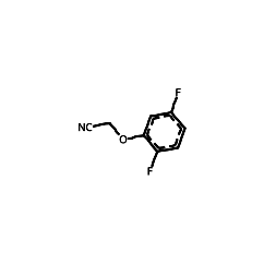 N#CCOc1cc(F)ccc1F